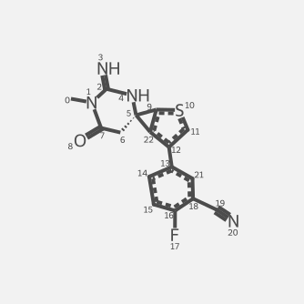 CN1C(=N)N[C@@]2(CC1=O)c1scc(-c3ccc(F)c(C#N)c3)c12